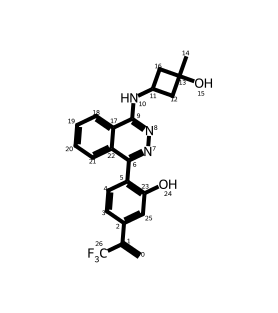 C=C(c1ccc(-c2nnc(NC3CC(C)(O)C3)c3ccccc23)c(O)c1)C(F)(F)F